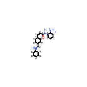 Nc1ccccc1NC(=O)/C=C\c1ccc(CNc2ccccc2)cc1